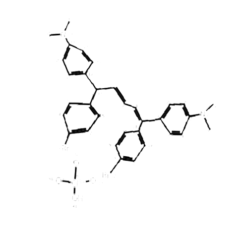 CN(C)c1ccc(C(=CC=CC(c2ccc(Br)cc2)c2ccc(N(C)C)cc2)c2ccc(Br)cc2)cc1.[O-][Cl+3]([O-])([O-])O